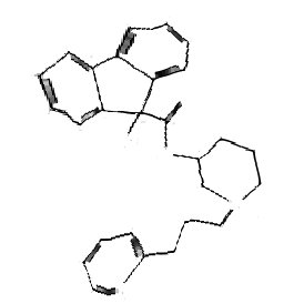 C[N@@+]1(CCCc2ccccn2)CCCC(OC(=O)C2(O)c3ccccc3-c3ccccc32)C1